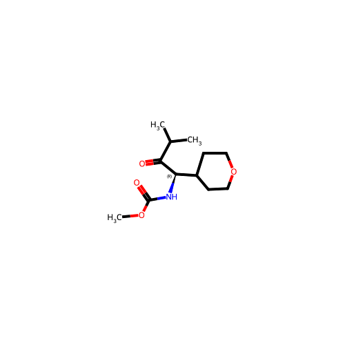 COC(=O)N[C@@H](C(=O)C(C)C)C1CCOCC1